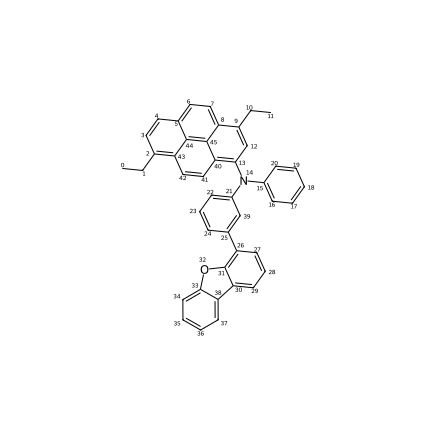 CCc1ccc2ccc3c(CC)cc(N(c4ccccc4)c4cccc(-c5cccc6c5oc5ccccc56)c4)c4ccc1c2c34